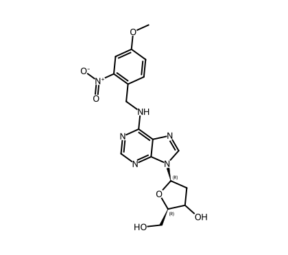 COc1ccc(CNc2ncnc3c2ncn3[C@H]2CC(O)[C@@H](CO)O2)c([N+](=O)[O-])c1